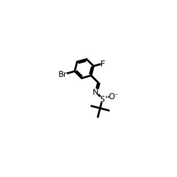 CC(C)(C)[S+]([O-])/N=C/c1cc(Br)ccc1F